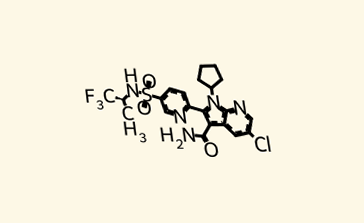 C[C@H](NS(=O)(=O)c1ccc(-c2c(C(N)=O)c3cc(Cl)cnc3n2C2CCCC2)nc1)C(F)(F)F